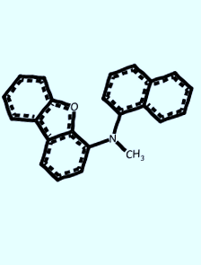 CN(c1cccc2ccccc12)c1cccc2c1oc1ccccc12